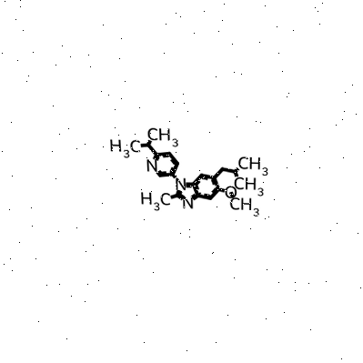 COc1cc2nc(C)n(-c3ccc(C(C)C)nc3)c2cc1CC(C)C